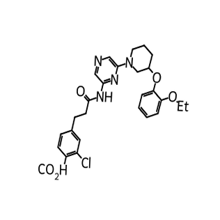 CCOc1ccccc1OC1CCCN(c2cncc(NC(=O)CCc3ccc(C(=O)O)c(Cl)c3)n2)C1